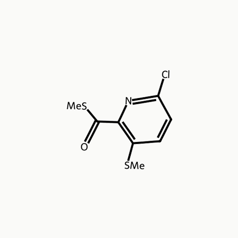 CSC(=O)c1nc(Cl)ccc1SC